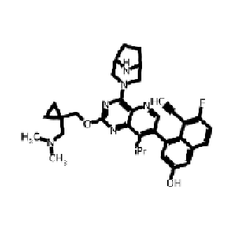 C#Cc1c(F)ccc2cc(O)cc(-c3cnc4c(N5CC6CCC(C5)N6)nc(OCC5(CN(C)C)CC5)nc4c3C(C)C)c12